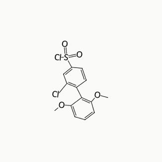 COc1cccc(OC)c1-c1ccc(S(=O)(=O)Cl)cc1Cl